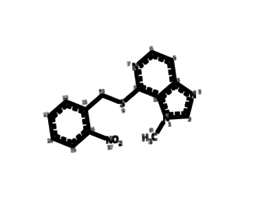 Cn1cnc2ccnc(SCc3ccccc3[N+](=O)[O-])c21